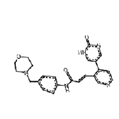 O=C(/C=C/c1cnccc1-c1cnc(=O)[nH]c1)Nc1ccc(CN2CCOCC2)cc1